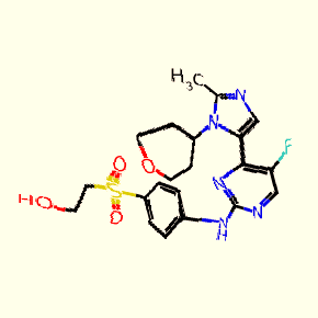 Cc1ncc(-c2nc(Nc3ccc(S(=O)(=O)CCO)cc3)ncc2F)n1C1CCOCC1